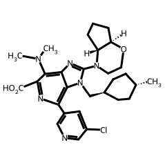 CN(C)c1c(C(=O)O)nc(-c2cncc(Cl)c2)c2c1nc(N1CCO[C@@H]3CCC[C@H]31)n2C[C@H]1CC[C@H](C)CC1